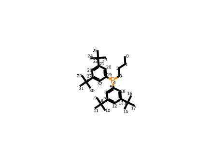 CCCCP(c1cc(C(C)(C)C)cc(C(C)(C)C)c1)c1cc(C(C)(C)C)cc(C(C)(C)C)c1